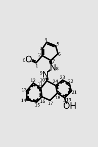 O=CC1=CC=CCC1=NN=C1c2ccccc2Cc2c(O)cccc21